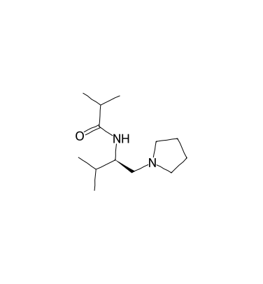 CC(C)C(=O)N[C@@H](CN1CCCC1)C(C)C